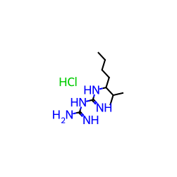 CCCCC(NC(=N)NC(=N)N)C(C)C.Cl